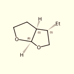 CC[C@@H]1CO[C@H]2OCC[C@@H]12